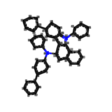 c1ccc(-c2ccc(N(c3ccccc3)c3cc4ccccc4c4c3c3cc(-c5ccccc5)ccc3n4-c3ccccc3)cc2)cc1